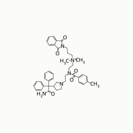 Cc1ccc(S(=O)(=O)N(CCN2CCC(C(C(N)=O)(c3ccccc3)c3ccccc3)C2)CC[N+](C)(C)CCCN2C(=O)c3ccccc3C2=O)cc1